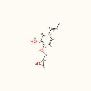 C/C=C/c1ccc(OCC2CO2)c(O)c1